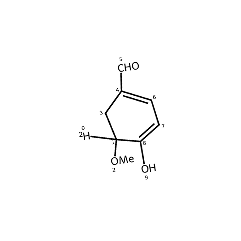 [2H]C1(OC)CC(C=O)=CC=C1O